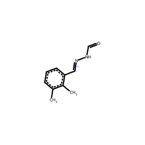 Cc1cccc(/C=N/NC=O)c1C